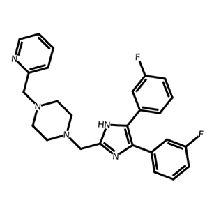 Fc1cccc(-c2nc(CN3CCN(Cc4ccccn4)CC3)[nH]c2-c2cccc(F)c2)c1